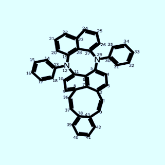 C1=Cc2ccc3c4c2c(ccc4n(-c2ccccc2)c2cccc4cccc(c42)n3-c2ccccc2)C=Cc2ccccc21